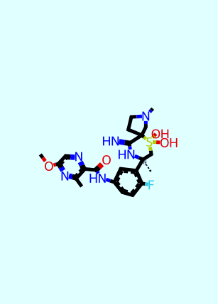 COc1cnc(C(=O)Nc2ccc(F)c([C@]3(C)CS(O)(O)C4(CCN(C)C4)C(=N)N3)c2)c(C)n1